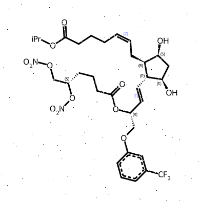 CC(C)OC(=O)CCC/C=C\C[C@@H]1[C@@H](/C=C/[C@H](COc2cccc(C(F)(F)F)c2)OC(=O)CCC[C@@H](CO[N+](=O)[O-])O[N+](=O)[O-])[C@H](O)C[C@@H]1O